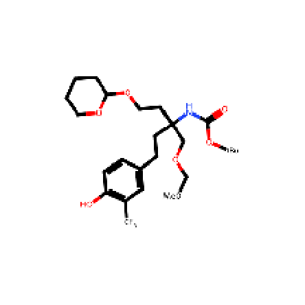 COCOCC(CCOC1CCCCO1)(CCc1ccc(O)c(C(F)(F)F)c1)NC(=O)OC(C)(C)C